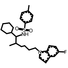 Cc1ccc(S(=O)(=O)NC(C(C)CCCCn2ccc3cc(F)ccc32)C2CCCCC2)cc1